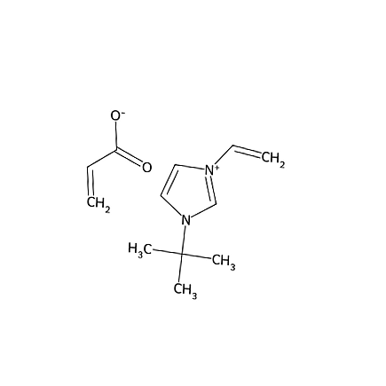 C=CC(=O)[O-].C=C[n+]1ccn(C(C)(C)C)c1